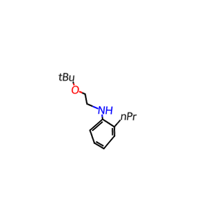 CCCc1ccccc1NCCOC(C)(C)C